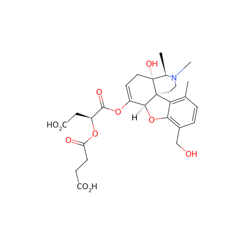 Cc1ccc(CO)c2c1[C@]13CCN(C)[C@H](C)[C@]1(O)CC=C(OC(=O)[C@H](CC(=O)O)OC(=O)CCC(=O)O)[C@@H]3O2